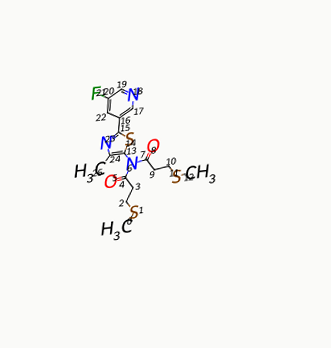 CSCCC(=O)N(C(=O)CCSC)c1sc(-c2cncc(F)c2)nc1C